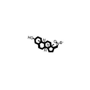 C[C@]12CC[C@H](O)CC1=CC[C@@H]1[C@@H]2CC[C@]2(C)/C(=C\[N+](=O)[O-])CC[C@@H]12